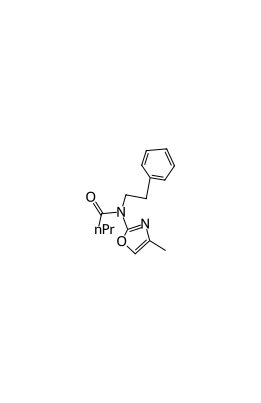 CCCC(=O)N(CCc1ccccc1)c1nc(C)co1